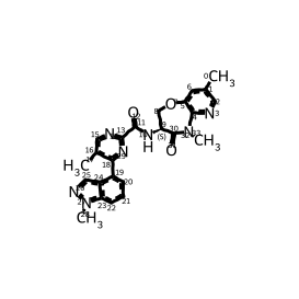 Cc1cnc2c(c1)OC[C@H](NC(=O)c1ncc(C)c(-c3cccc4c3cnn4C)n1)C(=O)N2C